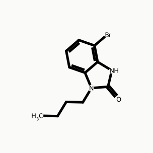 CCCCn1c(=O)[nH]c2c(Br)cccc21